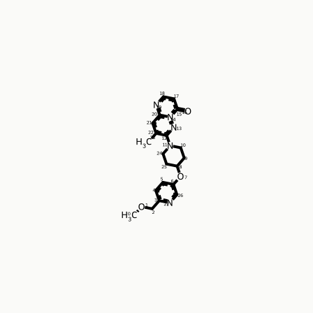 COCc1ccc(OC2CCN(c3nn4c(=O)ccnc4cc3C)CC2)cn1